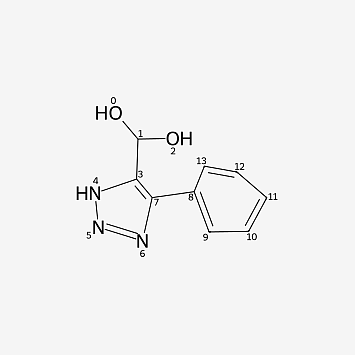 OC(O)c1[nH]nnc1-c1ccccc1